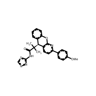 COc1ccc(-c2ccc3c(n2)Oc2ccccc2[C@@H]3C(C)(C)C(=O)Nc2nncs2)cc1